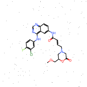 COCC1CN(CC=CC(=O)Nc2ccc3ncnc(Nc4ccc(F)c(Cl)c4)c3c2)CC(=O)O1